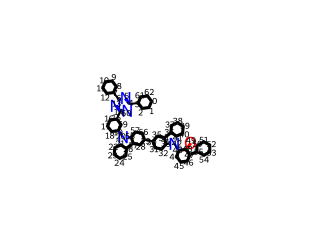 c1ccc(-c2nc(-c3ccccc3)nc(-c3cccc(-n4c5ccccc5c5cc(-c6ccc7c(c6)c6ccccc6n7-c6cccc7c6oc6ccccc67)ccc54)c3)n2)cc1